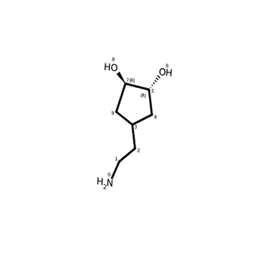 NCCC1C[C@@H](O)[C@H](O)C1